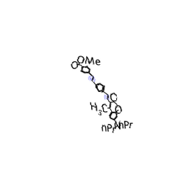 CCCN(CCC)c1ccc2c(c1)OCC(=O)C(/C=C/c1ccc(/C=C/c3ccc(C(=O)OC)cc3)cc1)=C2C